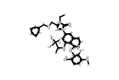 CCn1c(COCc2ccccc2)nn(-c2cc(OC(C)C(F)(F)F)c3c(Oc4c(Cl)ccc(OC)c4F)nccc3c2)c1=O